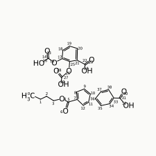 CCCCOC(=O)c1ccccc1.O=C(O)Oc1cccc(C(=O)O)c1OC(=O)O.O=C(O)c1ccccc1